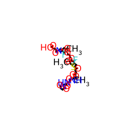 COc1cc2c(c(F)c1OCCCOc1c(OC)cc3sc(C(=O)CCC(=O)O[C@@H](C)CNC(=O)CNC(=O)CN4C(=O)C=CC4=O)cc3c1F)CN(C(=O)CCC(=O)O)C2